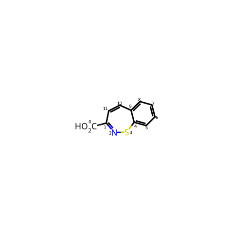 O=C(O)C1=NSc2ccccc2C=C1